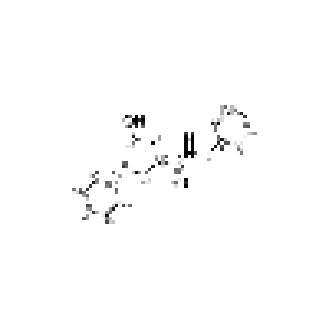 O=C(NCc1cccnc1)N(CCO)CCc1ccccc1